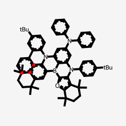 CC(C)(C)c1ccc(N2c3cc(N(c4ccccc4)c4ccccc4)cc4c3B(c3cc5c(cc3N4c3ccc(C(C)(C)C)cc3-c3ccccc3)C(C)(C)CCC5(C)C)c3oc4c(c32)C(C)(C)CCC4(C)C)cc1